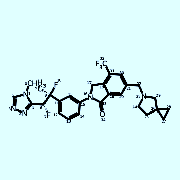 Cn1cnnc1[C@@H](F)[C@@](C)(F)c1cccc(N2Cc3c(cc(CN4CCC5(CC5)C4)cc3C(F)(F)F)C2=O)c1